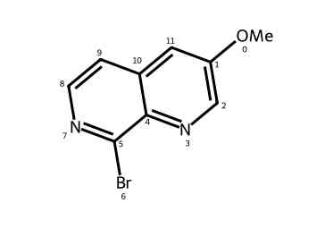 COc1cnc2c(Br)nccc2c1